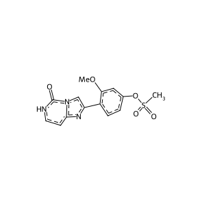 COc1cc(OS(C)(=O)=O)ccc1-c1cn2c(=O)[nH]ccc2n1